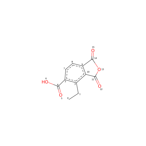 CCc1c(C(=O)O)ccc2c1C(=O)OC2=O